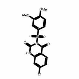 COc1ccc(S(=O)(=O)n2c(=O)[nH]c3cc(Cl)ccc3c2=O)cc1OC